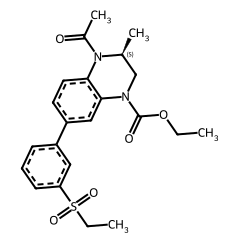 CCOC(=O)N1C[C@H](C)N(C(C)=O)c2ccc(-c3cccc(S(=O)(=O)CC)c3)cc21